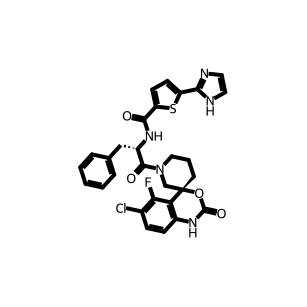 O=C1Nc2ccc(Cl)c(F)c2[C@@]2(CCCN(C(=O)[C@H](Cc3ccccc3)NC(=O)c3ccc(-c4ncc[nH]4)s3)C2)O1